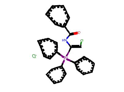 O=C(NC(=CCl)[P+](c1ccccc1)(c1ccccc1)c1ccccc1)c1ccccc1.[Cl-]